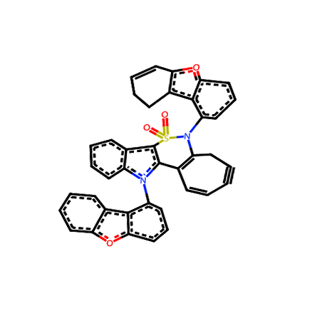 O=S1(=O)c2c(n(-c3cccc4oc5ccccc5c34)c3ccccc23)C2=C(CC#CC=C2)N1c1cccc2oc3c(c12)CCC=C3